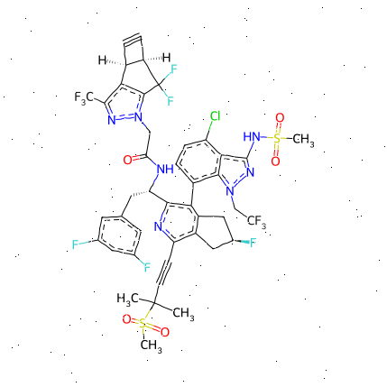 CC(C)(C#Cc1nc([C@H](Cc2cc(F)cc(F)c2)NC(=O)Cn2nc(C(F)(F)F)c3c2C(F)(F)[C@@H]2C#C[C@H]32)c(-c2ccc(Cl)c3c(NS(C)(=O)=O)nn(CC(F)(F)F)c23)c2c1C[C@H](F)C2)S(C)(=O)=O